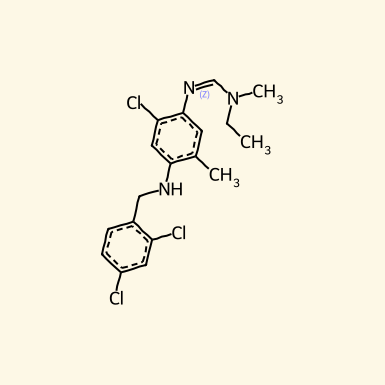 CCN(C)/C=N\c1cc(C)c(NCc2ccc(Cl)cc2Cl)cc1Cl